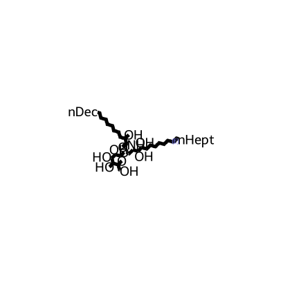 CCCCCCC/C=C/CCCCCCC(O)C(O)C(COC1OC(CO)C(O)C(O)C1O)NC(=O)C(O)CCCCCCCCCCCCCCCCCC